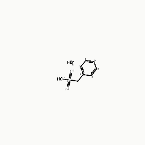 Br.O=S(=O)(O)Cc1ccccc1